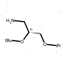 CC(C)OC[C@@H](CN)OC(C)(C)C